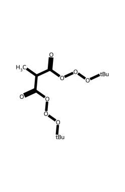 CC(C(=O)OOOC(C)(C)C)C(=O)OOOC(C)(C)C